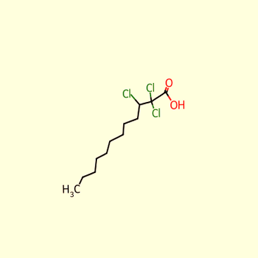 CCCCCCCCCC(Cl)C(Cl)(Cl)C(=O)O